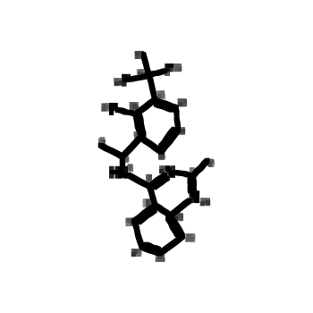 Cc1nc(NC(C)c2cccc(C(C)(F)F)c2F)c2ccccc2n1